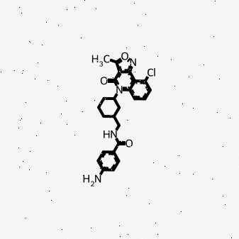 Cc1onc2c1c(=O)n(C1CCCC(CNC(=O)c3ccc(N)cc3)C1)c1cccc(Cl)c21